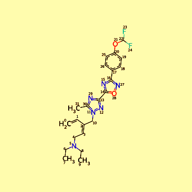 C=C/C(=C\CN(CC)CC)Cn1nc(-c2nc(-c3ccc(OC(F)F)cc3)no2)nc1C